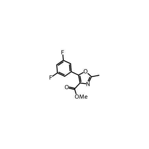 COC(=O)c1nc(C)oc1-c1cc(F)cc(F)c1